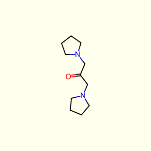 O=C(CN1CCCC1)CN1CCCC1